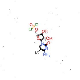 CCc1cn([C@@H]2O[C@H](COP(=O)(Cl)Cl)[C@H](O)[C@@H]2O)c(=O)nc1N